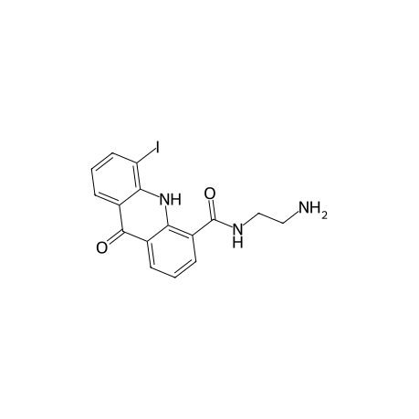 NCCNC(=O)c1cccc2c(=O)c3cccc(I)c3[nH]c12